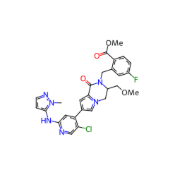 COCC1Cn2cc(-c3cc(Nc4ccnn4C)ncc3Cl)cc2C(=O)N1Cc1cc(F)ccc1C(=O)OC